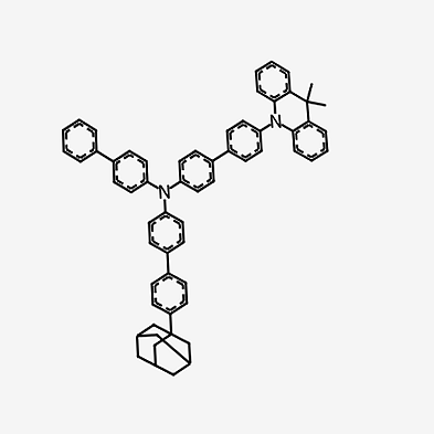 CC1(C)c2ccccc2N(c2ccc(-c3ccc(N(c4ccc(-c5ccccc5)cc4)c4ccc(-c5ccc(C67CC8CC(CC(C8)C6)C7)cc5)cc4)cc3)cc2)c2ccccc21